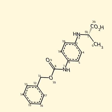 C[C@H](Nc1ccc(NC(=O)OCc2ccccc2)cc1)C(=O)O